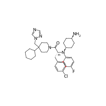 N[C@H]1CC[C@@H](N(c2ccc(F)cc2)[C@H](Cc2ccc(Cl)cc2)C(=O)N2CCC(Cn3cncn3)(C3CCCCC3)CC2)CC1